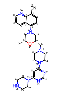 C[C@@H]1CN(c2ccc(C#N)c3ncccc23)C[C@H](CN2CCN(c3cc(N4CCNCC4)ncn3)CC2)O1